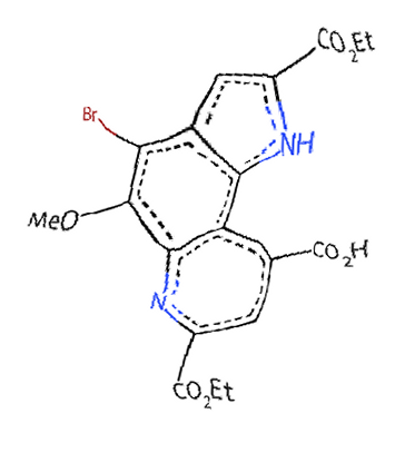 CCOC(=O)c1cc(C(=O)O)c2c(n1)c(OC)c(Br)c1cc(C(=O)OCC)[nH]c12